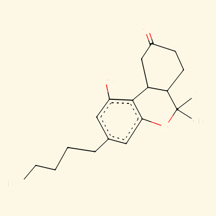 CCCCCc1cc(O)c2c(c1)OC(C)(C)C1CCC(=O)CC21